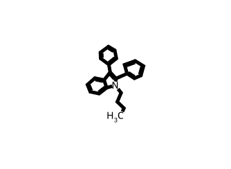 CCCCn1c(-c2ccccc2)c(-c2ccccc2)c2ccccc21